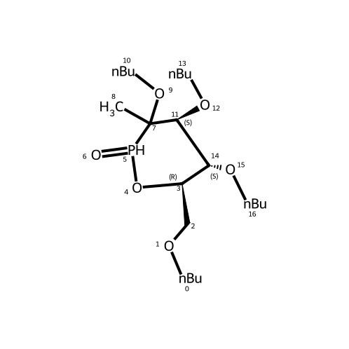 CCCCOC[C@H]1O[PH](=O)C(C)(OCCCC)[C@@H](OCCCC)[C@@H]1OCCCC